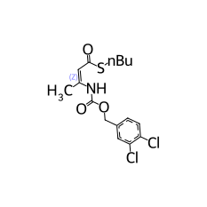 CCCCSC(=O)/C=C(/C)NC(=O)OCc1ccc(Cl)c(Cl)c1